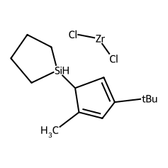 CC1=CC(C(C)(C)C)=CC1[SiH]1CCCC1.[Cl][Zr][Cl]